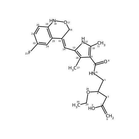 C=C(O)CC(CNC(=O)c1c(C)[nH]c(/C=C2\CONc3ccc(F)cc32)c1C)OCC